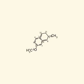 COc1ccc2c(c1)=CC(C)CC=2